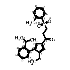 CCC1=C=C(C(=O)CCS(=O)(=O)c2ccccc2C)C=C1c1ccccc1C(C)C